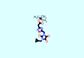 CC(C)(C)OC(=O)Cc1noc(CN2C(=O)C(=O)N(CC3CC3)C2=O)n1